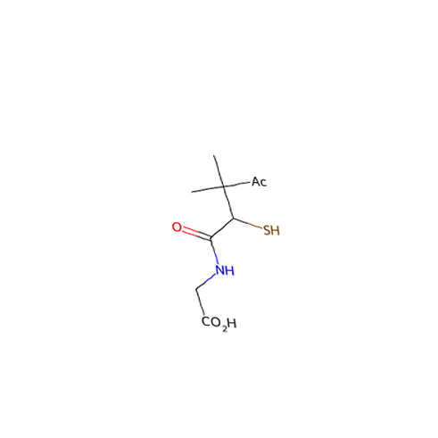 CC(=O)C(C)(C)C(S)C(=O)NCC(=O)O